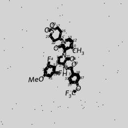 COc1cc(F)c([C@@H]2CN(c3c(C)ccn(C4CCS(=O)(=O)CC4)c3=O)C(=O)[C@H]2NC(=O)c2ccc(OC(F)(F)F)cc2)c(F)c1